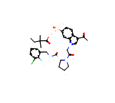 CCC(C)(C)C(=O)OOP(=O)(O)c1ccc2c(C(C)=O)cn(CC(=O)N3C[C@H](F)C[C@H]3C(=O)NCc3cccc(Cl)c3F)c2c1